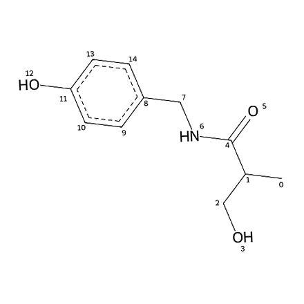 CC(CO)C(=O)NCc1ccc(O)cc1